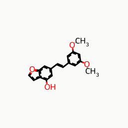 COc1cc(C=Cc2cc(O)c3ccoc3c2)cc(OC)c1